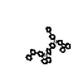 c1ccc(-c2ccc(N(c3ccc(-c4ccc(N(c5ccc(-c6cccc(-c7ccccc7)c6)cc5)c5cccc6ccccc56)cc4)cc3)c3ccc4c(c3)C3(CCCCC3)c3ccccc3-4)cc2)cc1